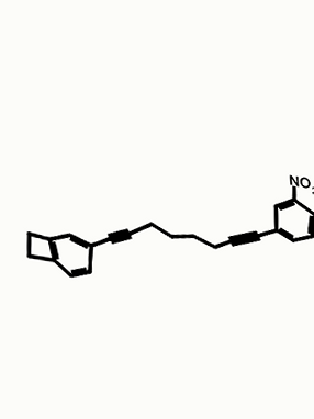 O=[N+]([O-])c1cccc(C#CCCCCC#Cc2ccc3c(c2)CC3)c1